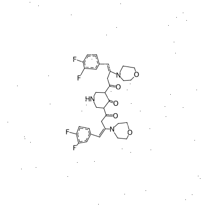 O=C(C/C(=C\c1ccc(F)c(F)c1)N1CCOCC1)C1CNCC(C(=O)C/C(=C\c2ccc(F)c(F)c2)N2CCOCC2)C1=O